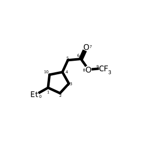 [CH2]CC1C[CH]C(CC(=O)OC(F)(F)F)C1